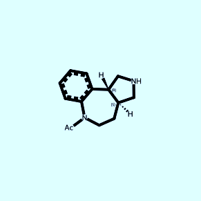 CC(=O)N1CC[C@@H]2CNC[C@H]2c2ccccc21